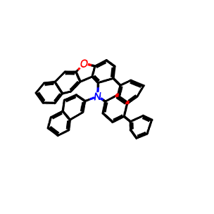 c1ccc(-c2ccc(N(c3ccc4ccccc4c3)c3c(-c4ccccc4)ccc4oc5cc6ccccc6cc5c34)cc2)cc1